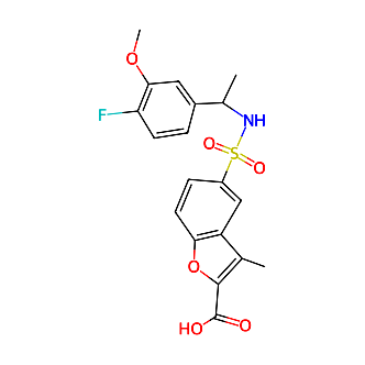 COc1cc(C(C)NS(=O)(=O)c2ccc3oc(C(=O)O)c(C)c3c2)ccc1F